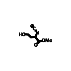 COC(=O)C(CCO)N=C=O